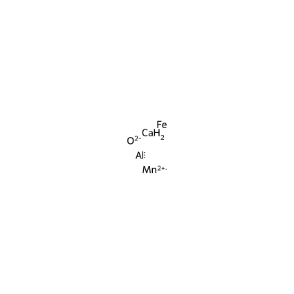 [Al].[CaH2].[Fe].[Mn+2].[O-2]